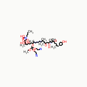 CCCCCN(C(=O)O)C(=O)C(=O)C(O)(O)[C@H](C)CCCCC(OCC(COCC)(COCCC#N)COCCC#N)/C(C)=C/C=C/C=C/[C@@H](C)C[C@@H](C)C(=O)C[C@H](O)/C(C)=C/[C@@H](C)C(=O)CC[C@H](C)C[C@H]1CC[C@H](O)CC1